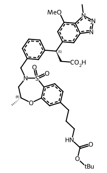 COc1cc([C@@H](CC(=O)O)c2cccc(CN3C[C@@H](C)Oc4cc(CCCNC(=O)OC(C)(C)C)ccc4S3(=O)=O)c2)cc2nnn(C)c12